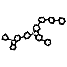 c1ccc(-c2ccc(-c3cccc(-c4ccc5c(c4)c4cc(-c6ccccc6)ccc4n5-c4ccc(-c5ccc6c(c5)c5ccccc5n6-c5ccccc5)cc4)c3)cc2)cc1